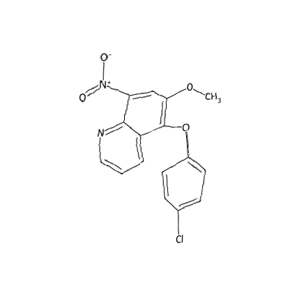 COc1cc([N+](=O)[O-])c2ncccc2c1Oc1ccc(Cl)cc1